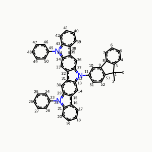 CC1(C)c2ccccc2-c2cc(-n3c4cc5c6ccccc6n(-c6ccccc6)c5cc4c4cc5c(cc43)c3ccccc3n5-c3ccccc3)ccc21